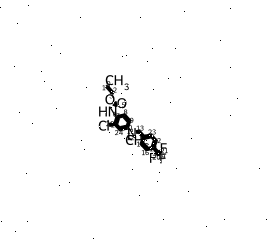 CCCOC(=O)Nc1ccc(N(C)Cc2ccc(C(F)(F)F)cc2)cc1Cl